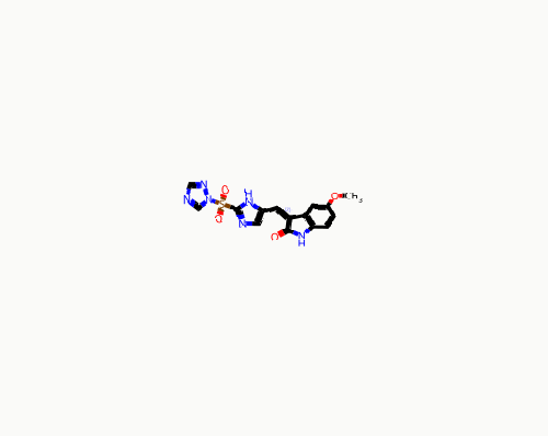 COc1ccc2c(c1)/C(=C/c1cnc(S(=O)(=O)n3cncn3)[nH]1)C(=O)N2